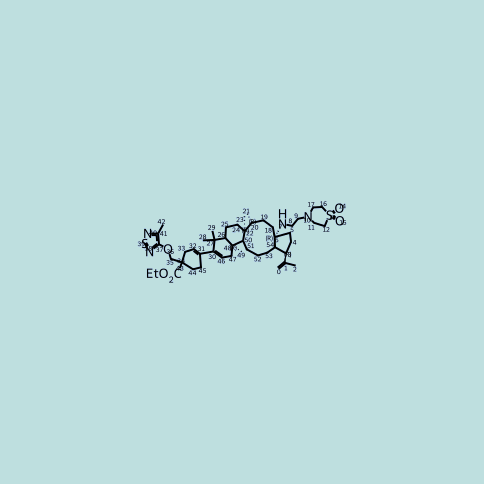 C=C(C)[C@@H]1CC[C@]2(NCCN3CCS(=O)(=O)CC3)CC[C@@H](C)[C@]3(C)CCC4C(C)(C)C(C5=CCC(COc6nsnc6C)(C(=O)OCC)CC5)=CC[C@]4(C)C3CCCC12